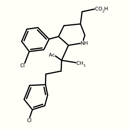 CC(=O)C(C)(CCc1ccc(Cl)cc1)C1NCC(CC(=O)O)CC1c1cccc(Cl)c1